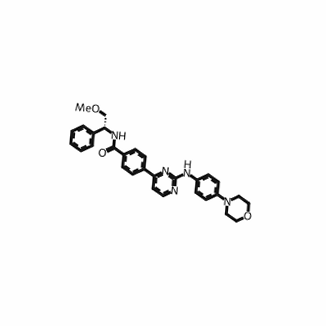 COC[C@H](NC(=O)c1ccc(-c2ccnc(Nc3ccc(N4CCOCC4)cc3)n2)cc1)c1ccccc1